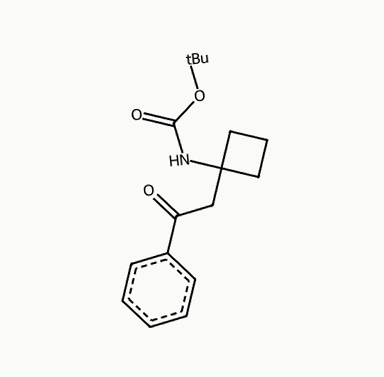 CC(C)(C)OC(=O)NC1(CC(=O)c2ccccc2)CCC1